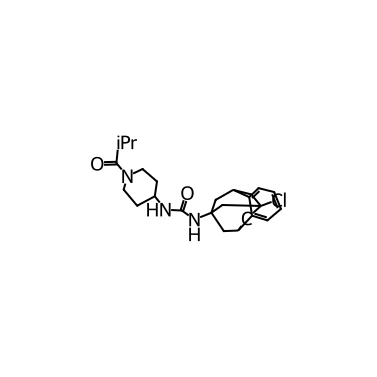 CC(C)C(=O)N1CCC(NC(=O)NC23CC4CC(Cl)(CC(C2)c2ccccc24)C3)CC1